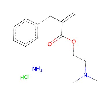 C=C(Cc1ccccc1)C(=O)OCCN(C)C.Cl.N